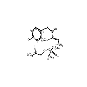 CCN(Cc1ccc(Cl)nc1)/C(=C/[N+](=O)[O-])NC.CNC(=O)CSP(=O)(OC)OC